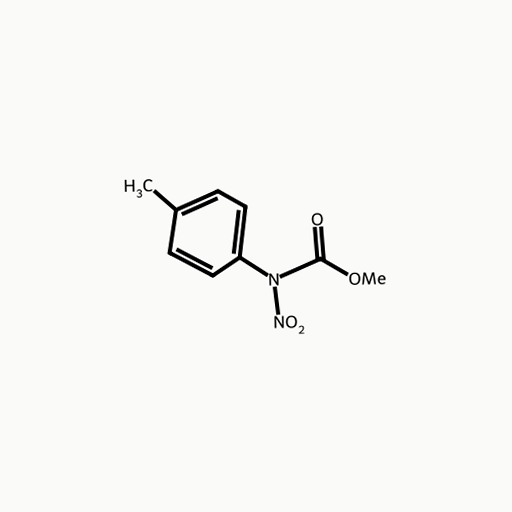 COC(=O)N(c1ccc(C)cc1)[N+](=O)[O-]